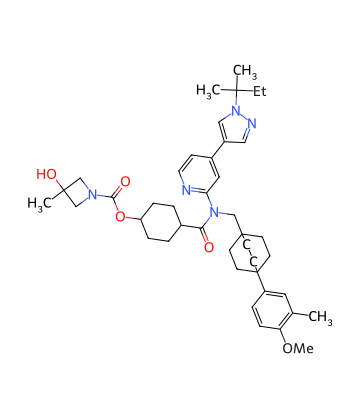 CCC(C)(C)n1cc(-c2ccnc(N(CC34CCC(c5ccc(OC)c(C)c5)(CC3)CC4)C(=O)C3CCC(OC(=O)N4CC(C)(O)C4)CC3)c2)cn1